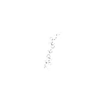 COC(=O)N[C@H](C(=O)N1CCC[C@H]1c1nc2cc(-c3ccc(-c4ccc5nc([C@@H]6CCCN6C(=O)[C@@H](NC(=O)OC)C(C)C)[nH]c5c4)nn3)ccc2[nH]1)C(C)C